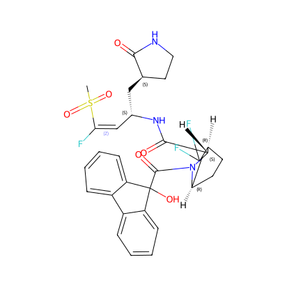 CS(=O)(=O)/C(F)=C\[C@H](C[C@@H]1CCNC1=O)NC(=O)[C@@H]1[C@H]2CC[C@H](CC2(F)F)N1C(=O)C1(O)c2ccccc2-c2ccccc21